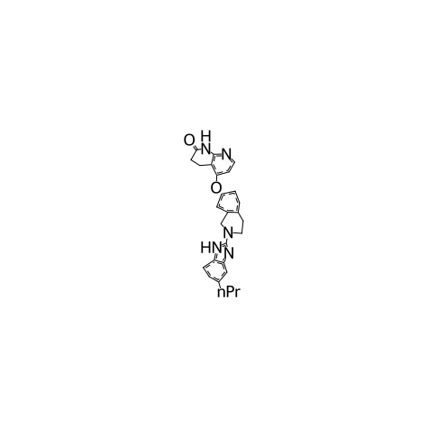 CCCc1ccc2[nH]c(N3CCc4ccc(Oc5ccnc6c5CCC(=O)N6)cc4C3)nc2c1